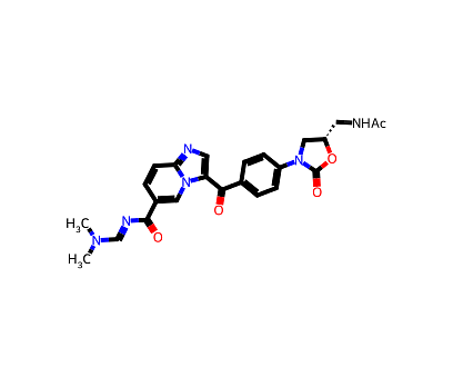 CC(=O)NC[C@H]1CN(c2ccc(C(=O)c3cnc4ccc(C(=O)N=CN(C)C)cn34)cc2)C(=O)O1